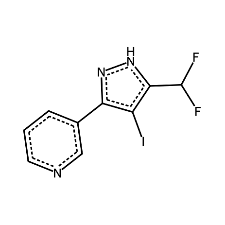 FC(F)c1[nH]nc(-c2cccnc2)c1I